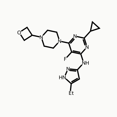 CCc1cc(Nc2nc(C3CC3)nc(N3CCN(C4COC4)CC3)c2F)n[nH]1